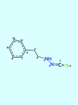 S=C=NNCCc1ccccc1